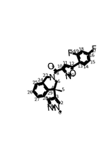 Cn1cc([C@@]2(C)CN(C(=O)c3cc(-c4ccc(F)cc4F)on3)Cc3ccccc32)cn1